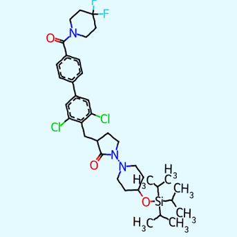 CC(C)[Si](OC1CCN(N2CCC(Cc3c(Cl)cc(-c4ccc(C(=O)N5CCC(F)(F)CC5)cc4)cc3Cl)C2=O)CC1)(C(C)C)C(C)C